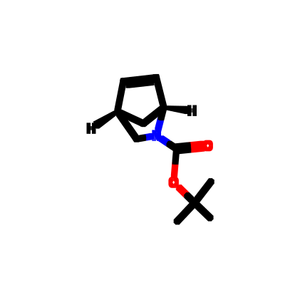 CC(C)(C)OC(=O)N1C[C@@H]2C=C[C@H]1C2